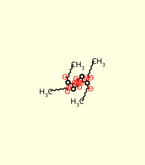 CCCCCCCCC(=O)Oc1ccc(C(=O)CCCCCCC)cc1C(=O)c1ccccc1C(=O)OOC(=O)c1ccccc1C(=O)c1cc(C(=O)CCCCCCC)ccc1OC(=O)CCCCCCCC